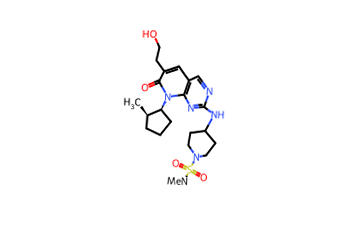 CNS(=O)(=O)N1CCC(Nc2ncc3cc(CCO)c(=O)n([C@H]4CCC[C@H]4C)c3n2)CC1